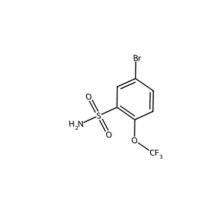 NS(=O)(=O)c1cc(Br)ccc1OC(F)(F)F